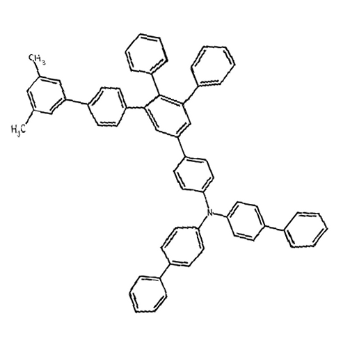 Cc1cc(C)cc(-c2ccc(-c3cc(-c4ccc(N(c5ccc(-c6ccccc6)cc5)c5ccc(-c6ccccc6)cc5)cc4)cc(-c4ccccc4)c3-c3ccccc3)cc2)c1